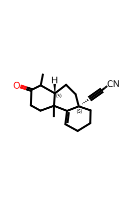 CC1C(=O)CCC2(C)C3=CCCC[C@]3(C#CC#N)CC[C@@H]12